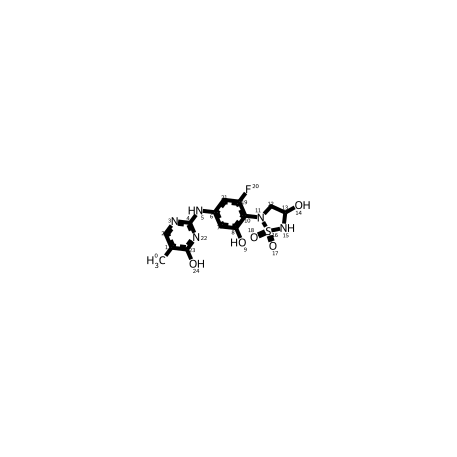 Cc1cnc(Nc2cc(O)c(N3CC(O)NS3(=O)=O)c(F)c2)nc1O